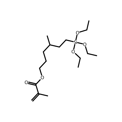 C=C(C)C(=O)OCCCC(C)CC[Si](OCC)(OCC)OCC